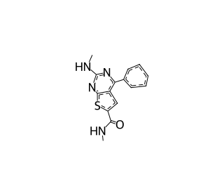 CNC(=O)c1cc2c(-c3ccccc3)nc(NC)nc2s1